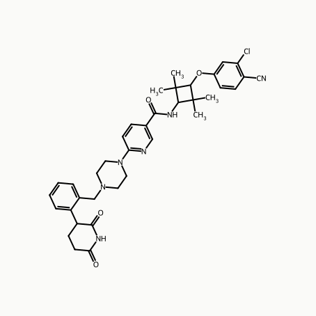 CC1(C)C(NC(=O)c2ccc(N3CCN(Cc4ccccc4C4CCC(=O)NC4=O)CC3)nc2)C(C)(C)C1Oc1ccc(C#N)c(Cl)c1